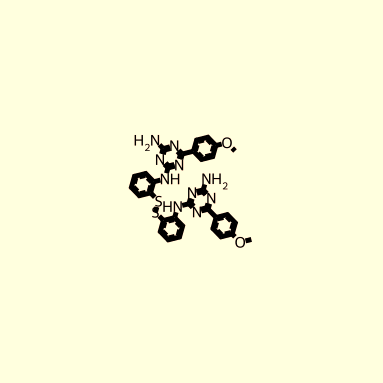 COc1ccc(-c2nc(N)nc(Nc3ccccc3SSc3ccccc3Nc3nc(N)nc(-c4ccc(OC)cc4)n3)n2)cc1